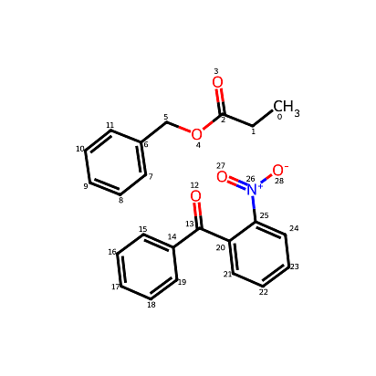 CCC(=O)OCc1ccccc1.O=C(c1ccccc1)c1ccccc1[N+](=O)[O-]